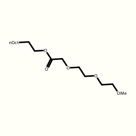 CCCCCCCCCCOC(=O)COCCOCCOC